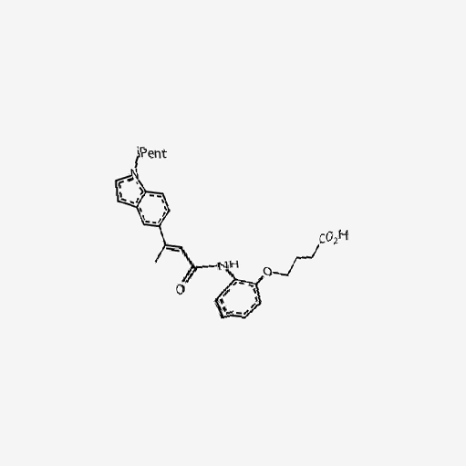 CCCC(C)n1ccc2cc(C(C)=CC(=O)Nc3ccccc3OCCCC(=O)O)ccc21